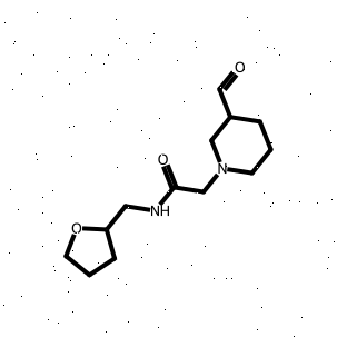 O=CC1CCCN(CC(=O)NCC2CCCO2)C1